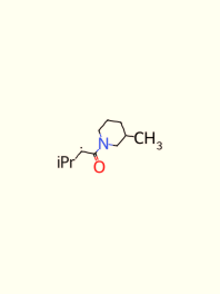 CC(C)[CH]C(=O)N1CCCC(C)C1